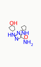 CC1(Nc2nc(N[C@H]3CC[C@H](O)CC3)ncc2C(N)=O)CCCC1